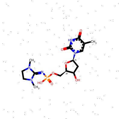 Cc1cn([C@H]2CC(O)[C@@H](COP(=O)(O)N=C3N(C)CCN3C)O2)c(=O)[nH]c1=O